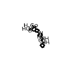 CCC1(CC(=O)O)CCc2cc(-c3cnc(NC(=O)Nc4ccccc4)cn3)ccc2C1=O